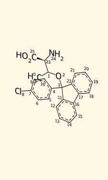 CC(OC1(c2ccc(Cl)cc2)c2ccccc2-c2ccccc21)[C@H](N)C(=O)O